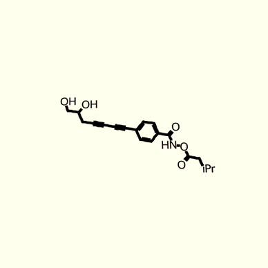 CC(C)CC(=O)ONC(=O)c1ccc(C#CC#CCC(O)CO)cc1